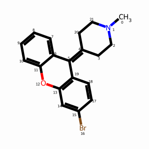 CN1CCC(=C2c3ccccc3Oc3cc(Br)ccc32)CC1